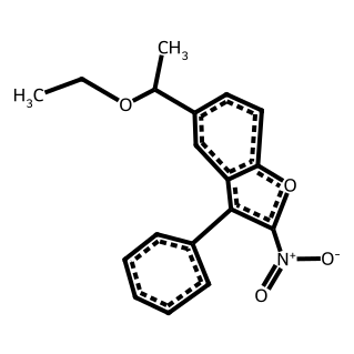 CCOC(C)c1ccc2oc([N+](=O)[O-])c(-c3ccccc3)c2c1